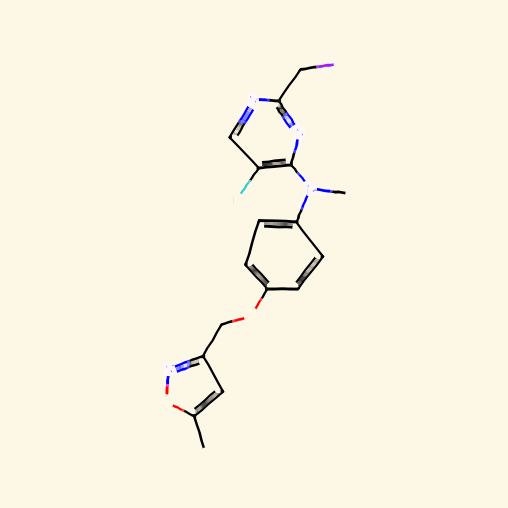 Cc1cc(COc2ccc(N(C)c3nc(CI)ncc3F)cc2)no1